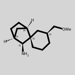 COC[C@H]1CCC[C@]2(C1)[C@@H]1CC[C@@H](C1)[C@@H]2N